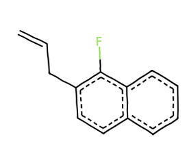 C=CCc1ccc2ccccc2c1F